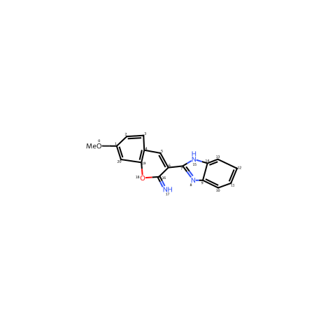 COc1ccc2cc(-c3nc4ccccc4[nH]3)c(=N)oc2c1